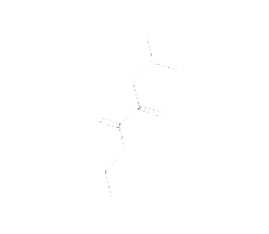 CCOC(=O)C(=O)CN(C)C